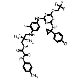 Cc1ccc(NC(=O)C(=O)NCC(C)(C)CNc2ccc(Nc3nc(NC4(c5ccc(Cl)cc5)CC4)nc(OCC(F)(F)F)n3)cc2F)cc1